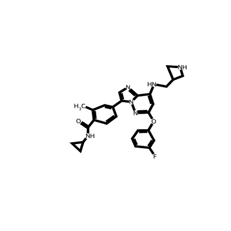 Cc1cc(-c2cnc3c(NCC4CNC4)cc(Oc4cccc(F)c4)nn23)ccc1C(=O)NC1CC1